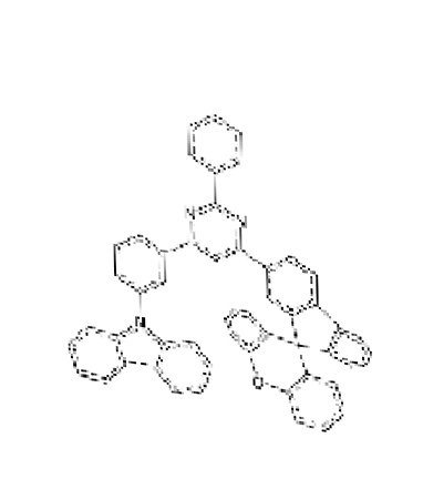 c1ccc(-c2nc(-c3cccc(-n4c5ccccc5c5ccccc54)c3)cc(-c3ccc4c(c3)C3(c5ccccc5Oc5ccccc53)c3ccccc3-4)n2)cc1